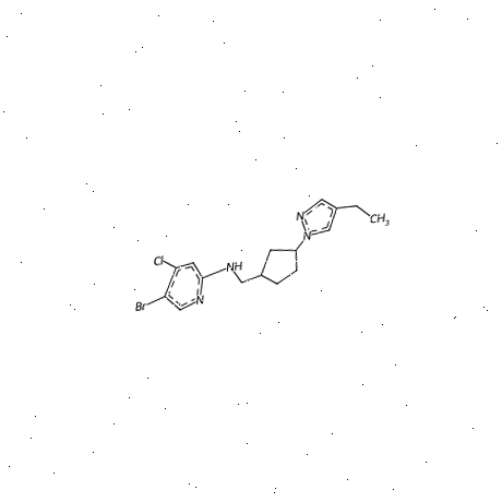 CCc1cnn(C2CCC(CNc3cc(Cl)c(Br)cn3)C2)c1